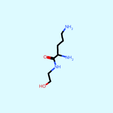 NCCCC(N)C(=O)NCCO